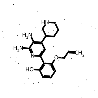 C=CCOc1cccc(O)c1-c1cc(C2CCCNC2)c(N)c(N)n1